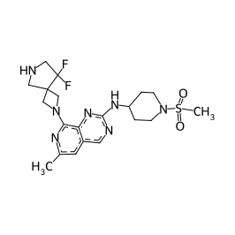 Cc1cc2cnc(NC3CCN(S(C)(=O)=O)CC3)nc2c(N2CC3(CNCC3(F)F)C2)n1